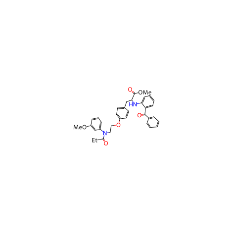 CCC(=O)N(CCOc1ccc(CC(Nc2ccccc2C(=O)c2ccccc2)C(=O)OC)cc1)c1cccc(OC)c1